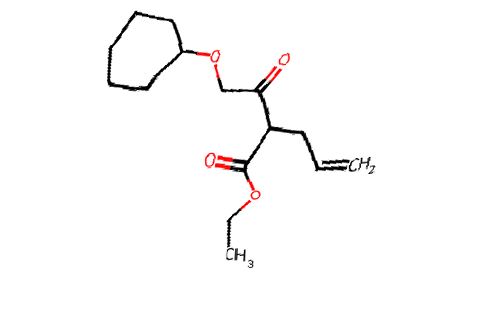 C=CCC(C(=O)COC1CCCCC1)C(=O)OCC